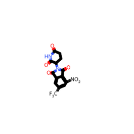 O=C1CCC(N2C(=O)c3cc(C(F)(F)F)cc([N+](=O)[O-])c3C2=O)C(=O)N1